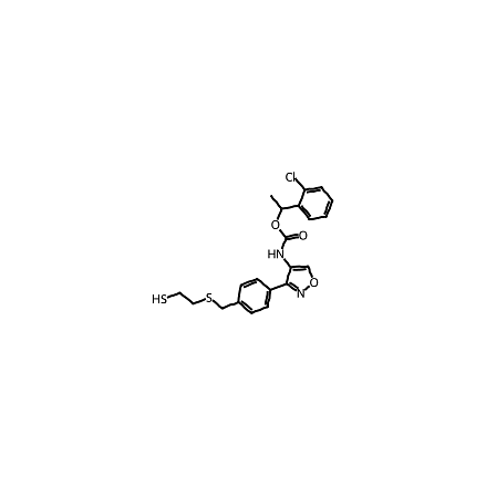 CC(OC(=O)Nc1conc1-c1ccc(CSCCS)cc1)c1ccccc1Cl